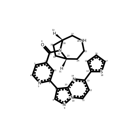 O=C(c1ccnc(-c2cnn3ccc(-c4cccs4)nc23)c1)N1[C@@H]2CCNC[C@H]1CC2